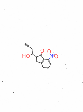 C#CCC(O)C1Cc2cccc([N+](=O)[O-])c2C1=O